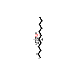 CCCCCCCCCCCC.O=S(=O)(O)O.[Ag]